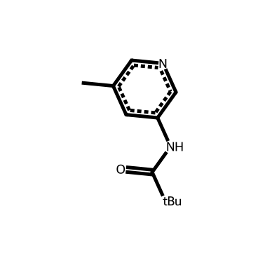 Cc1cncc(NC(=O)C(C)(C)C)c1